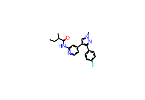 CCC(C)C(=O)Nc1cc(-c2cn(C)nc2-c2ccc(F)cc2)ccn1